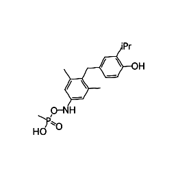 Cc1cc(NOP(C)(=O)O)cc(C)c1Cc1ccc(O)c(C(C)C)c1